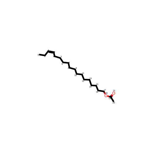 CC/C=C\CCCCCCCCCCCCCCOC(C)=O